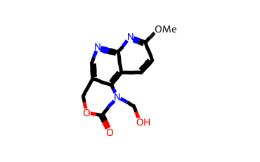 COc1ccc2c3c(cnc2n1)COC(=O)N3CO